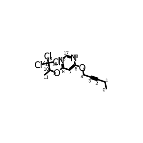 CCC#CCOc1cc(OC(C)C(Cl)(Cl)Cl)ncn1